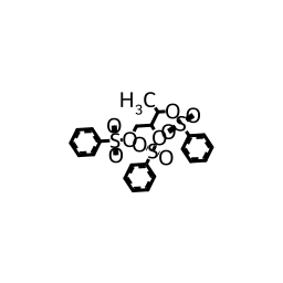 CC(OS(=O)(=O)c1ccccc1)C(COS(=O)(=O)c1ccccc1)OS(=O)(=O)c1ccccc1